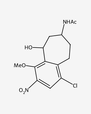 COc1c([N+](=O)[O-])cc(Cl)c2c1C(O)CC(NC(C)=O)CC2